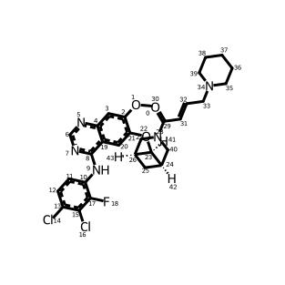 COc1cc2ncnc(Nc3ccc(Cl)c(Cl)c3F)c2cc1O[C@H]1[C@@H]2C[C@H]1CN(C(=O)/C=C/CN1CCCCC1)C2